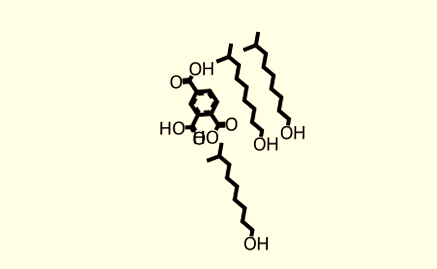 CC(C)CCCCCCCO.CC(C)CCCCCCCO.CC(C)CCCCCCCO.O=C(O)c1ccc(C(=O)O)c(C(=O)O)c1